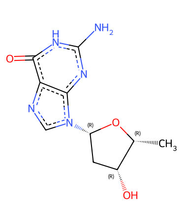 C[C@H]1O[C@@H](n2cnc3c(=O)[nH]c(N)nc32)C[C@H]1O